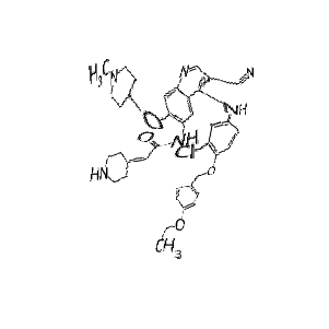 CCOc1ccc(COc2ccc(Nc3c(C#N)cnc4cc(OC5CCN(C)CC5)c(NC(=O)C=C5CCNCC5)cc34)cc2Cl)cc1